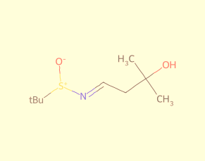 CC(C)(O)CC=N[S+]([O-])C(C)(C)C